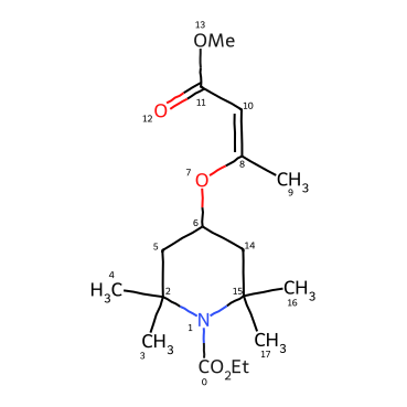 CCOC(=O)N1C(C)(C)CC(O/C(C)=C\C(=O)OC)CC1(C)C